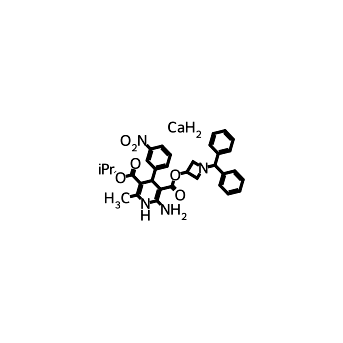 CC1=C(C(=O)OC(C)C)C(c2cccc([N+](=O)[O-])c2)C(C(=O)OC2CN(C(c3ccccc3)c3ccccc3)C2)=C(N)N1.[CaH2]